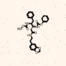 CC(C)(C)OC(=O)NC(Cc1ccccc1)[C@H](CC(=O)NCCc1ccc2c(c1)OCO2)NC(=O)OC1=CC=CCC1